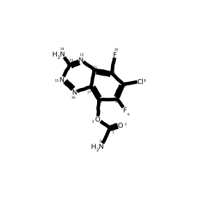 NC(=O)Oc1c(F)c(Cl)c(F)c2nc(N)nnc12